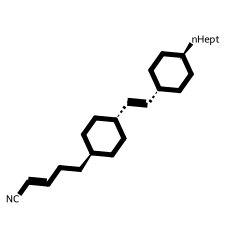 CCCCCCC[C@H]1CC[C@H](C=C[C@H]2CC[C@H](CCC=CC#N)CC2)CC1